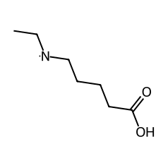 CC[N]CCCCC(=O)O